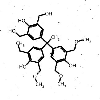 CCc1cc(C(C)(c2cc(CO)c(O)c(CO)c2)c2cc(COC)c(O)c(COC)c2)cc(COC)c1O